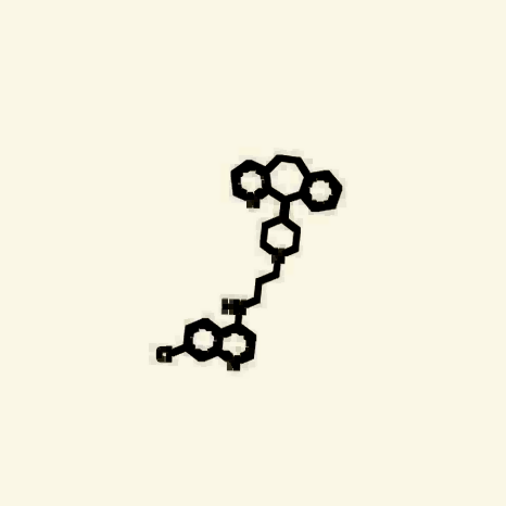 Clc1ccc2c(NCCCN3CCC(=C4c5ccccc5CCc5cccnc54)CC3)ccnc2c1